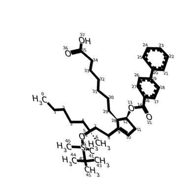 CCCCC[C@@](C)(CCC1=CC[C@H](OC(=O)c2ccc(-c3ccccc3)cc2)[C@@H]1CCCCCCC(=O)O)O[Si](C)(C)C(C)(C)C